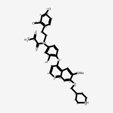 COc1cc2c(Oc3ccc(N(CCc4ccc(Cl)cc4Cl)C(=O)C(N)=O)cc3F)ccnc2cc1OCC1CCNCC1